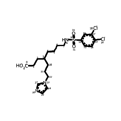 O=C(O)CCC(CCCCNS(=O)(=O)c1ccc(Cl)c(Cl)c1)CCCn1ccnc1